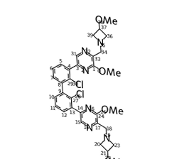 COc1nc(-c2cccc(-c3cccc(-c4cnc(CN5CC(OC)C5)c(OC)n4)c3Cl)c2Cl)cnc1CN1CC(OC)C1